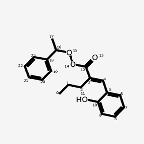 CCCC(=Cc1ccccc1O)C(=O)OOC(C)c1ccccc1